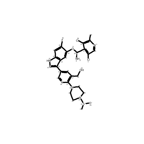 Cc1ncc(Cl)c([C@@H](N)Oc2cc3c(-c4cnc(N5CCN([S+](C)[O-])CC5)c(CO)c4)n[nH]c3cc2F)c1Cl